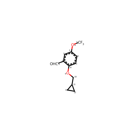 O=Cc1cc(OC(F)(F)F)ccc1OCC1CC1